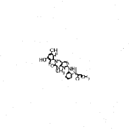 C=CC(=O)Nc1ccccc1Nc1ncc2c(n1)N(C)C(=O)N(c1c(F)c(O)cc(O)c1F)C2